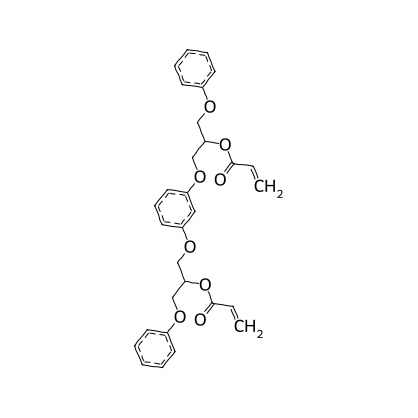 C=CC(=O)OC(COc1ccccc1)COc1cccc(OCC(COc2ccccc2)OC(=O)C=C)c1